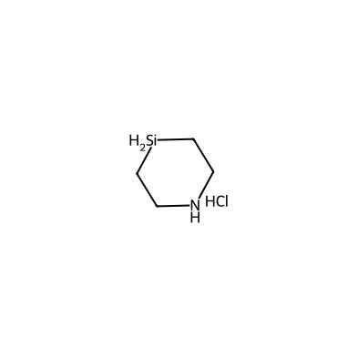 C1C[SiH2]CCN1.Cl